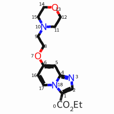 CCOC(=O)c1cnc2cc(OCCN3CCOCC3)ccn12